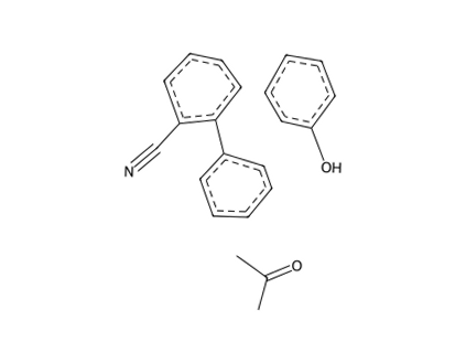 CC(C)=O.N#Cc1ccccc1-c1ccccc1.Oc1ccccc1